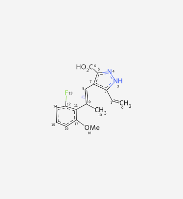 C=Cc1[nH]nc(C(=O)O)c1/C=C(\C)c1c(F)cccc1OC